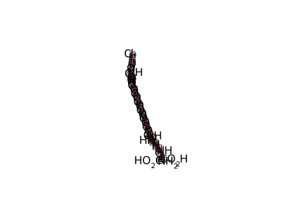 N[C@@H](C[C@H](CCCC(=O)Nc1ccc(N=Nc2ccc(NC(=O)CNC(=O)CCOCCOCCOCCOCCOCCOCCOCCOCCOCCOCCOCCOCCn3cc(CCC(=O)NCCOCCOCCCCCCCl)nn3)cc2)cc1)C(=O)O)C(=O)O